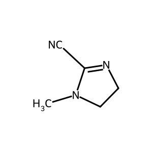 CN1CCN=C1C#N